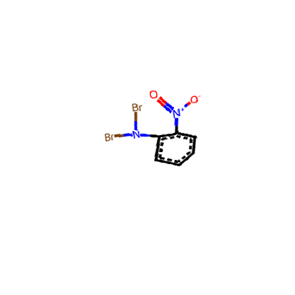 O=[N+]([O-])c1ccccc1N(Br)Br